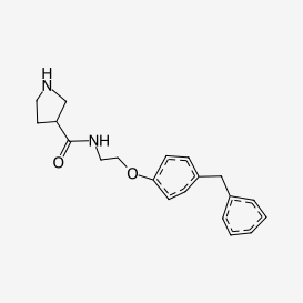 O=C(NCCOc1ccc(Cc2ccccc2)cc1)C1CCNC1